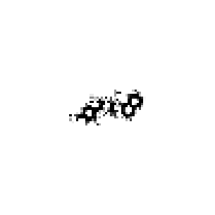 CCc1nc(-c2ccc(Cl)cc2Cl)c(CC)nc1NC1CCCc2ccccc21